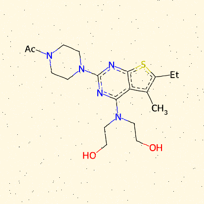 CCc1sc2nc(N3CCN(C(C)=O)CC3)nc(N(CCO)CCO)c2c1C